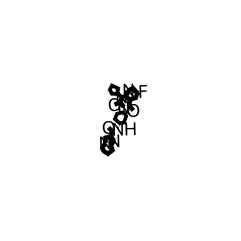 O=C(N[C@H]1CC[C@@H](n2c(=O)c3cc(F)cnc3n(C3CCCC3)c2=O)CC1)c1cn2ccccc2n1